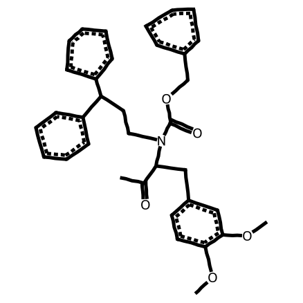 COc1ccc(CC(C(C)=O)N(CCC(c2ccccc2)c2ccccc2)C(=O)OCc2ccccc2)cc1OC